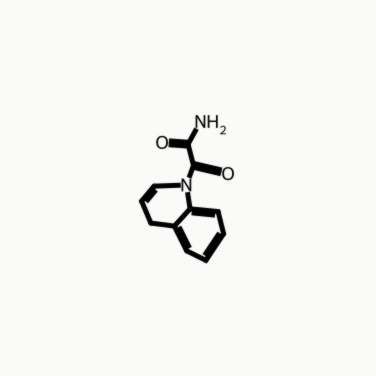 NC(=O)C(=O)N1C=CCc2ccccc21